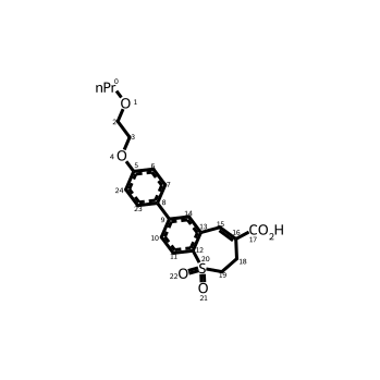 CCCOCCOc1ccc(-c2ccc3c(c2)C=C(C(=O)O)CCS3(=O)=O)cc1